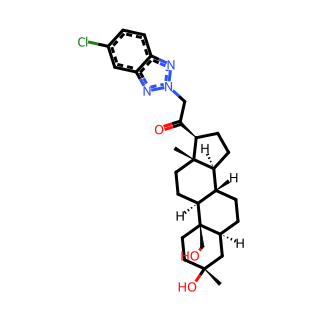 C[C@@]1(O)CC[C@@]2(CO)[C@@H](CC[C@H]3[C@@H]4CC[C@H](C(=O)Cn5nc6ccc(Cl)cc6n5)[C@@]4(C)CC[C@@H]32)C1